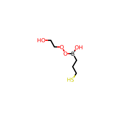 OCCOOB(O)CCCS